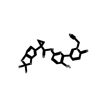 Cc1ccc(NC(=O)C2(c3ccc4c(c3)OC(F)(F)O4)CC2)nc1-c1ccc(=O)n(CC#N)c1